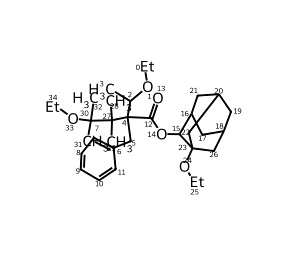 CCOC(C)C(Cc1ccccc1)(C(=O)OC1C2CC3CC(C2)CC1(OCC)C3)C(C)(C)C(C)(C)OCC